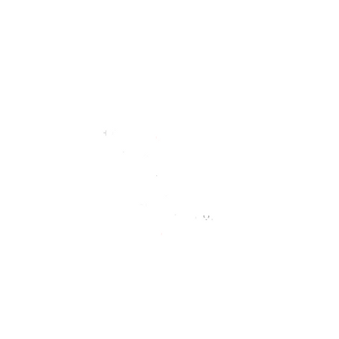 CCC(C)(C(=O)OC)C(C)(C)C(=O)C(=O)C=O